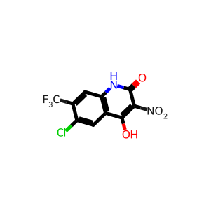 O=c1[nH]c2cc(C(F)(F)F)c(Cl)cc2c(O)c1[N+](=O)[O-]